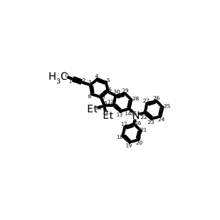 CC#Cc1ccc2c(c1)C(CC)(CC)c1cc(N(c3ccccc3)c3ccccc3)ccc1-2